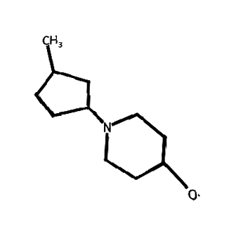 CC1CCC(N2CCC([O])CC2)C1